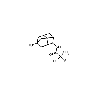 CC(C)(Br)C(=O)NC1C2CC3CC1CC(O)(C3)C2